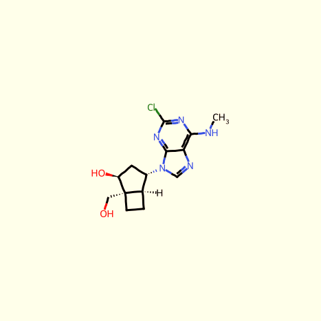 CNc1nc(Cl)nc2c1ncn2[C@H]1C[C@H](O)[C@]2(CO)CC[C@H]12